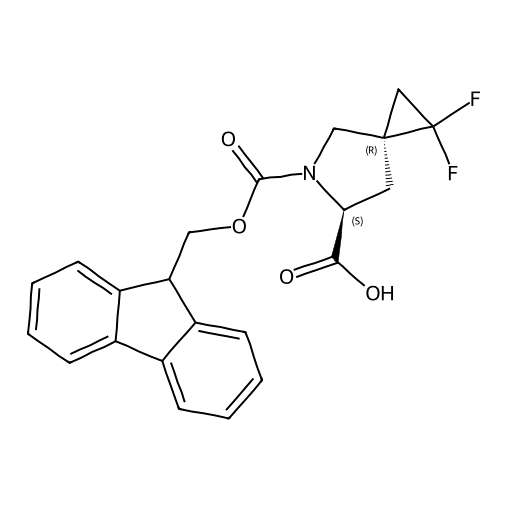 O=C(O)[C@@H]1C[C@]2(CN1C(=O)OCC1c3ccccc3-c3ccccc31)CC2(F)F